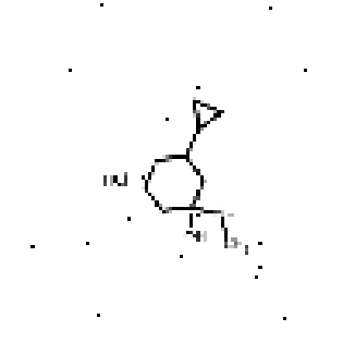 CNC1(O)CCCC(C2CC2)C1.Cl